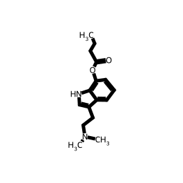 CCCC(=O)Oc1cccc2c(CCN(C)C)c[nH]c12